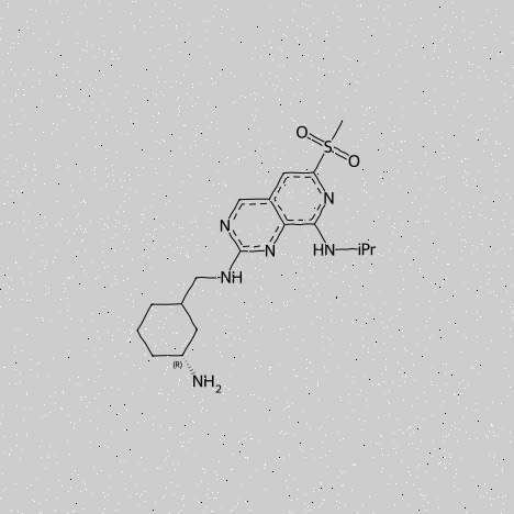 CC(C)Nc1nc(S(C)(=O)=O)cc2cnc(NCC3CCC[C@@H](N)C3)nc12